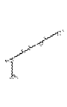 COCC(O)CCCCCCCCC(=O)OCC(CCCCCCCCC(=O)OCCCOC(=O)CCCCCCCCC(COC)OC(=O)CCCCCCCCC(CO)OC)OC